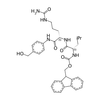 CC(C)C[C@H](NC(=O)OCC1c2ccccc2-c2ccccc21)C(=O)N[C@@H](CCCNC(N)=O)C(=O)Nc1ccc(CO)cc1